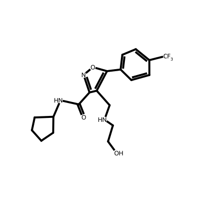 O=C(NC1CCCC1)c1noc(-c2ccc(C(F)(F)F)cc2)c1CNCCO